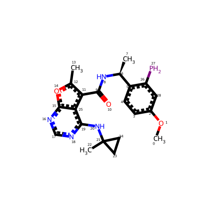 COc1ccc([C@H](C)NC(=O)c2c(C)oc3ncnc(NC4(C)CC4)c23)c(P)c1